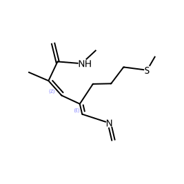 C=N/C=C(/C=C(/C)C(=C)NC)CCCSC